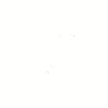 NC1=NC2(CCc3cccc(-c4ccnnc4)c3C2)CO1